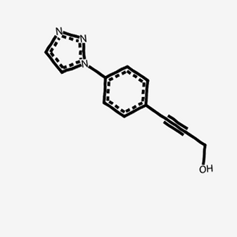 OCC#Cc1ccc(-n2ccnn2)cc1